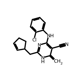 C=C1NC(CC2C=CCC2)=NC(Nc2ccccc2Cl)=C1C#N